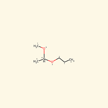 CCCO[SiH](C)OC